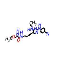 CCCNc1nc(Nc2ccc(C#N)cc2)ncc1C#CCCCNC(=O)[C@@H](N)COC